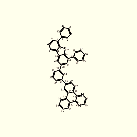 c1ccc(-c2cccc3c2sc2c(-c4ccccc4)cc(-c4cccc(-c5ccc6c(c5)c5ccccc5c5nccnc65)c4)cc23)cc1